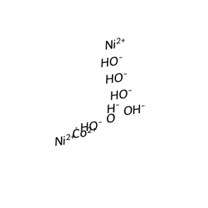 [Co+2].[Ni+2].[Ni+2].[OH-].[OH-].[OH-].[OH-].[OH-].[OH-]